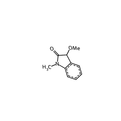 COC1C(=O)N(C)c2ccccc21